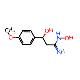 COc1ccc([C@@H](O)CC(=N)NO)cc1